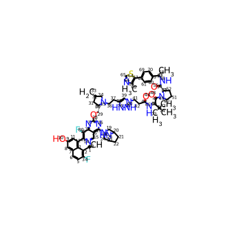 C#Cc1c(F)ccc2cc(O)cc(-c3ncc4c(N5CC6CCC(C5)N6)nc(OC[C@@H]5CC(=C)CN5CCC5=CN(CCC(=O)N[C@H](C(=O)N6CCC[C@H]6C(=O)N[C@@H](C)c6ccc(-c7scnc7C)cc6)C(C)(C)C)NN5)nc4c3F)c12